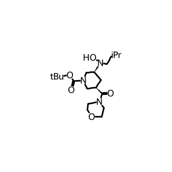 CC(C)CN(O)[C@H]1C[C@@H](C(=O)N2CCOCC2)CN(C(=O)OC(C)(C)C)C1